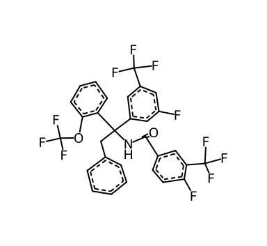 O=C(NC(Cc1ccccc1)(c1cc(F)cc(C(F)(F)F)c1)c1ccccc1OC(F)(F)F)c1ccc(F)c(C(F)(F)F)c1